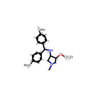 CCOC(=O)OC1CN(C)CC1NC(c1ccc(OC)cc1)c1ccc(OC)cc1